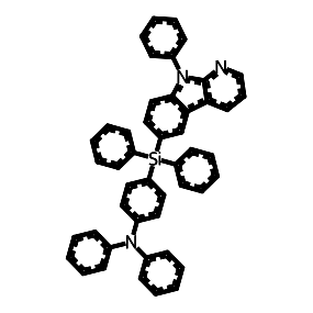 c1ccc(N(c2ccccc2)c2ccc([Si](c3ccccc3)(c3ccccc3)c3ccc4c(c3)c3cccnc3n4-c3ccccc3)cc2)cc1